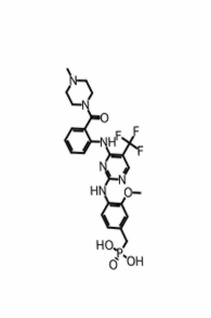 COc1cc(CP(=O)(O)O)ccc1Nc1ncc(C(F)(F)F)c(Nc2ccccc2C(=O)N2CCN(C)CC2)n1